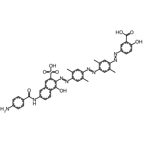 Cc1cc(N=Nc2cc(C)c(N=Nc3c(S(=O)(=O)O)cc4cc(NC(=O)c5ccc(N)cc5)ccc4c3O)cc2C)c(C)cc1N=Nc1ccc(O)c(C(=O)O)c1